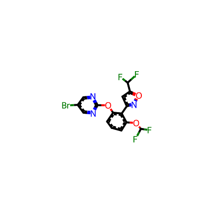 FC(F)Oc1cccc(Oc2ncc(Br)cn2)c1-c1cc(C(F)F)on1